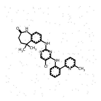 Cc1cccc(-c2ccccc2Nc2nc(Nc3ccc4c(c3)C(C)(C)CCC(=O)N4)ncc2Cl)n1